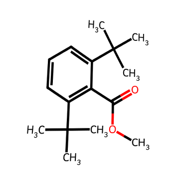 COC(=O)c1c(C(C)(C)C)cccc1C(C)(C)C